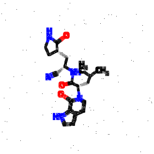 CC(C)C[C@@H](C(=O)N[C@H](C#N)C[C@@H]1CCNC1=O)n1ccc2cc[nH]c2c1=O